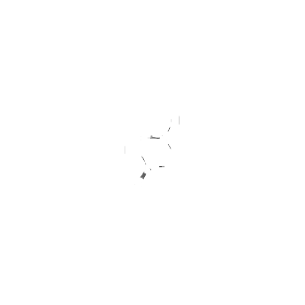 O=[N+]([O-])O.[O-][S+](Cl)Cl